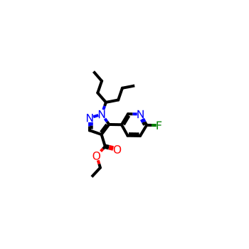 CCCC(CCC)n1ncc(C(=O)OCC)c1-c1ccc(F)nc1